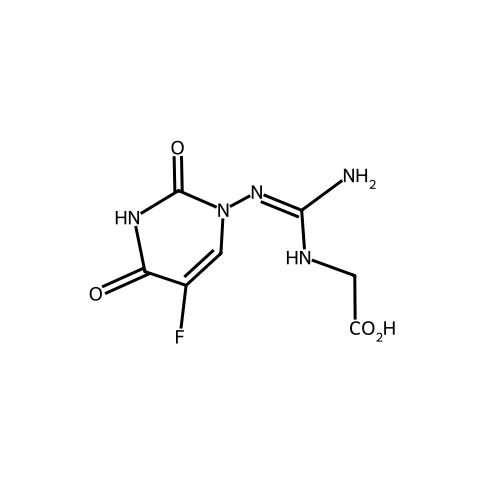 NC(=Nn1cc(F)c(=O)[nH]c1=O)NCC(=O)O